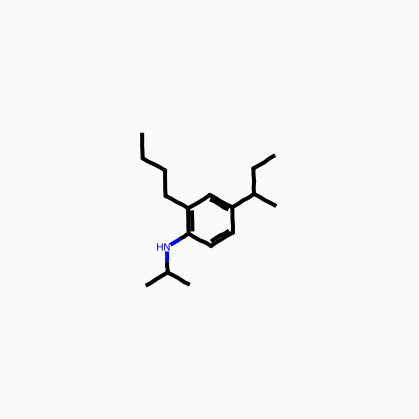 CCCCc1cc(C(C)CC)ccc1NC(C)C